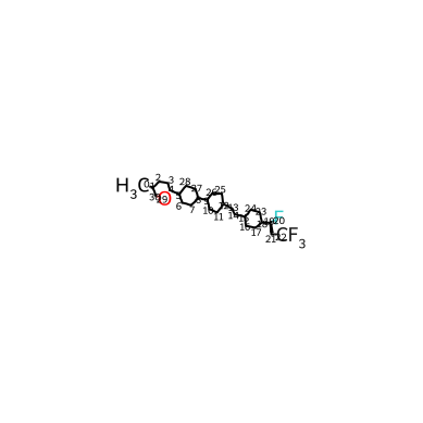 CC1CCC(C2CCC(C3CCC(CCC4CCC(/C(F)=C/C(F)(F)F)CC4)CC3)CC2)OC1